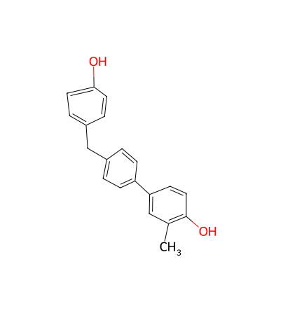 Cc1cc(-c2ccc(Cc3ccc(O)cc3)cc2)ccc1O